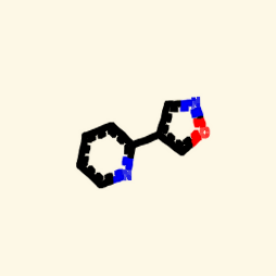 c1ccc(-c2cnoc2)nc1